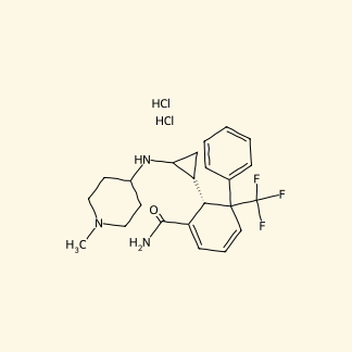 CN1CCC(NC2CC2[C@H]2C(C(N)=O)=CC=CC2(c2ccccc2)C(F)(F)F)CC1.Cl.Cl